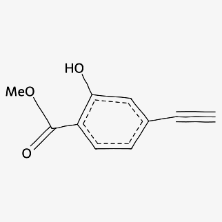 C#Cc1ccc(C(=O)OC)c(O)c1